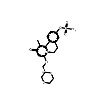 Cc1c2n(c(OC[C@@H]3COCCO3)cc1=O)CCc1cc(OS(=O)(=O)C(F)(F)F)ccc1-2